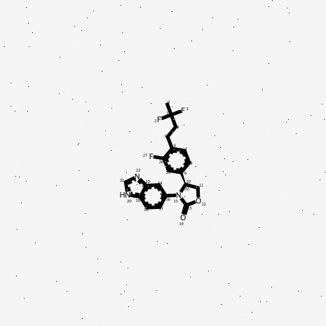 CC(F)(F)CCc1ccc([C@H]2COC(=O)N2c2ccc3[nH]cnc3c2)cc1F